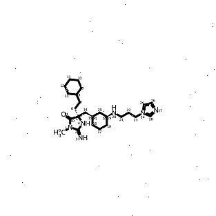 CN1C(=N)N[C@](CCC2CCCCC2)(C[C@@H]2CCC[C@H](NCCCn3ccnc3)C2)C1=O